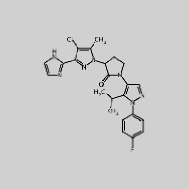 Cc1c(Cl)c(-c2ncc[nH]2)nn1C1CCN(c2cnn(-c3ccc(F)cc3)c2C(C)C)C1=O